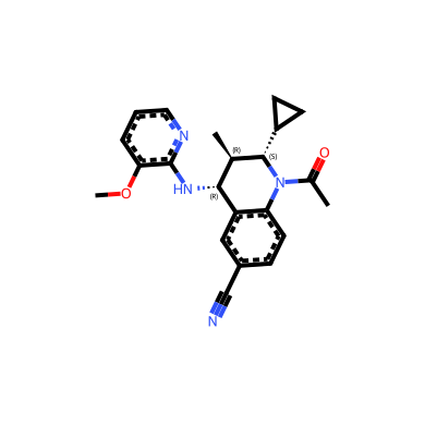 COc1cccnc1N[C@H]1c2cc(C#N)ccc2N(C(C)=O)[C@@H](C2CC2)[C@@H]1C